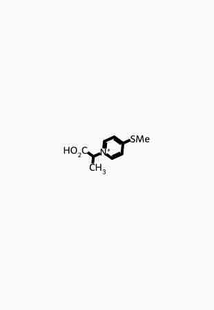 CSc1cc[n+](C(C)C(=O)O)cc1